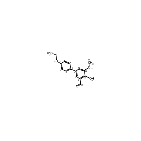 CCOc1ccc(-c2cc(C=O)c(O)c(OC)c2)cc1